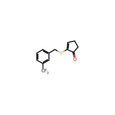 O=C1CCC=C1SCc1cccc(C(F)(F)F)c1